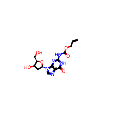 C=CCOC(=O)Nc1nc2c(ncn2[C@H]2CC(O)[C@@H](CO)O2)c(=O)[nH]1